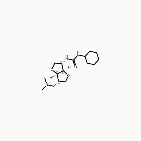 CN(C)C[C@H]1CO[C@H]2[C@@H]1OC[C@@H]2NC(=O)NC1CCCCC1